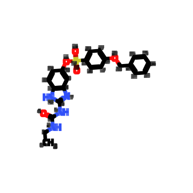 CCNC(=O)Nc1nc2cc(OS(=O)(=O)c3ccc(OCc4ccccc4)cc3)ccc2[nH]1